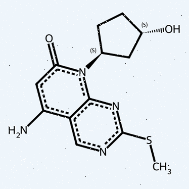 CSc1ncc2c(N)cc(=O)n([C@H]3CC[C@H](O)C3)c2n1